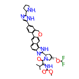 COC(=O)N[C@H](C(=O)N1C[C@@H](COC(F)F)CC1c1nc2ccc3cc4c(cc3c2[nH]1)OCc1cc(-c2cnc(C3CCCN3)[nH]2)ccc1-4)C(C)C